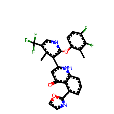 Cc1c(Oc2ncc(C(F)(F)F)c(C)c2-c2cc(=O)c3c(-c4ncco4)cccc3[nH]2)ccc(F)c1F